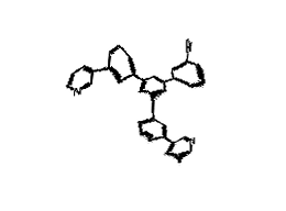 Brc1cccc(-c2cc(-c3cccc(-c4cccnc4)c3)cc(-c3cccc(-c4cccnc4)c3)c2)c1